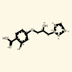 O=C(O)c1ccc(OCC(O)Cn2ncnn2)cc1F